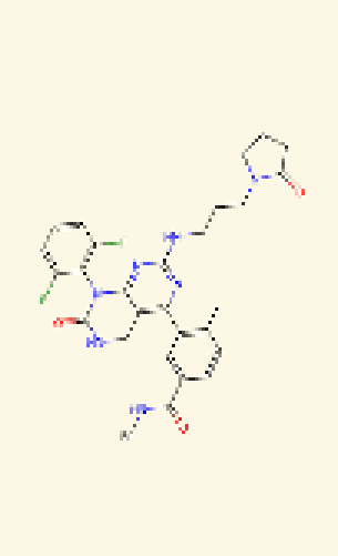 Cc1ccc(C(=O)NC(C)C)cc1-c1nc(NCCCN2CCCC2=O)nc2c1CNC(=O)N2c1c(F)cccc1F